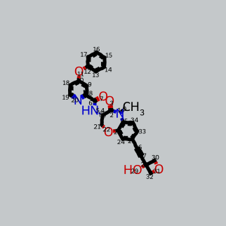 CN1C(=O)[C@@H](NC(=O)c2cc(Oc3ccccc3)ccn2)COc2cc(C#CC3(O)COC3)ccc21